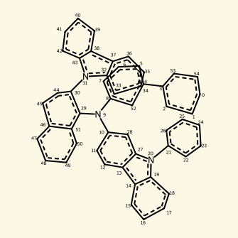 c1ccc(-c2cccc(N(c3ccc4c5ccccc5n(-c5ccccc5)c4c3)c3c(-n4c5ccccc5c5ccccc54)ccc4ccccc34)c2)cc1